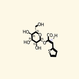 O=C(O)/C(=C/c1cccs1)O[C@H]1O[C@@H](CO)[C@H](O)[C@@H](O)[C@@H]1O